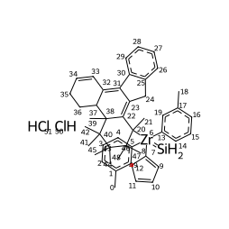 Cc1ccc[c]([Zr](=[SiH2])([C]2=CC=CC2)([c]2cccc(C)c2)[C]2(C)C3=C4Cc5ccccc5C4=C4C=CCCC4C3(C)C(C)(C)C(C)(C)C2(C)C)c1.Cl.Cl